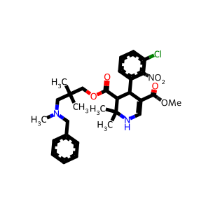 COC(=O)C1=CNC(C)(C)C(C(=O)OCC(C)(C)CN(C)Cc2ccccc2)C1c1cccc(Cl)c1[N+](=O)[O-]